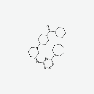 O=C(C1CCCCC1)N1CCC(N2CCC[C@H](Nc3nccc(N4CCCCCC4)n3)C2)CC1